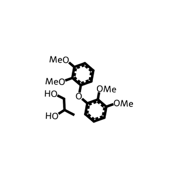 CC(O)CO.COc1cccc(Oc2cccc(OC)c2OC)c1OC